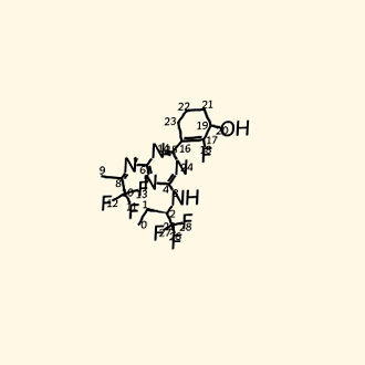 CC[C@@H](Nc1nc(/N=C(/C)C(F)(F)F)nc(C2=C(F)C(O)CCC2)n1)C(F)(F)F